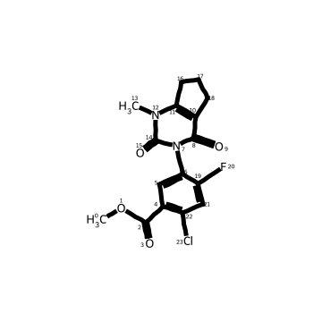 COC(=O)c1cc(-n2c(=O)c3c(n(C)c2=O)CCC3)c(F)cc1Cl